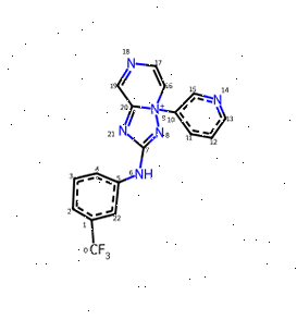 FC(F)(F)c1cccc(NC2=N[N+]3(c4cccnc4)C=CN=CC3=N2)c1